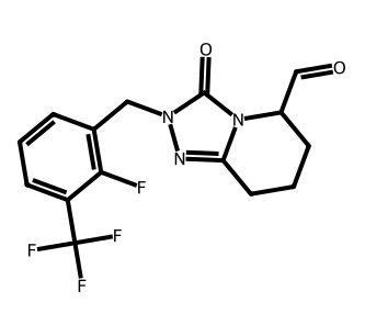 O=CC1CCCc2nn(Cc3cccc(C(F)(F)F)c3F)c(=O)n21